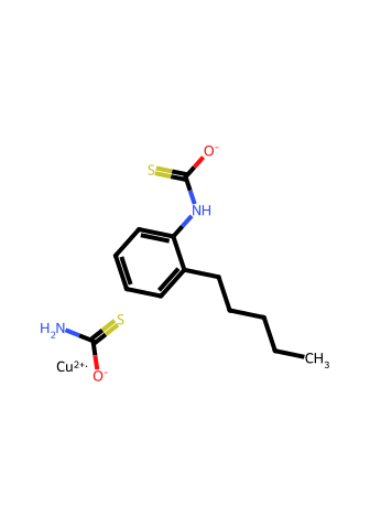 CCCCCc1ccccc1NC([O-])=S.NC([O-])=S.[Cu+2]